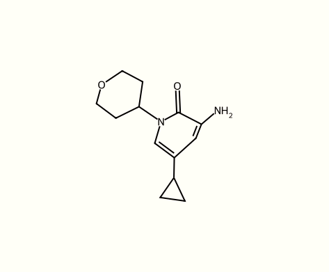 Nc1cc(C2CC2)cn(C2CCOCC2)c1=O